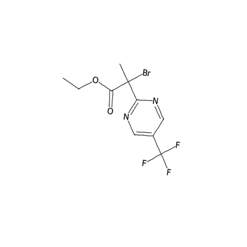 CCOC(=O)C(C)(Br)c1ncc(C(F)(F)F)cn1